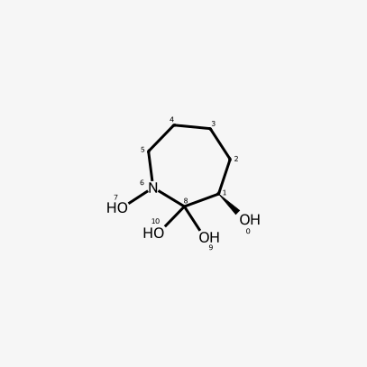 O[C@@H]1CCCCN(O)C1(O)O